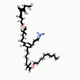 C=C(CCCN(C)C)CC(CCCCCC(C)(C)C(=C)OCCCC/C=C\CCCC)CCCCCC(C)(C)C(=C)OCCCCC(C)CCCC